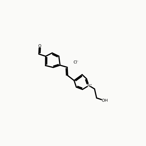 O=Cc1ccc(C=Cc2cc[n+](CCO)cc2)cc1.[Cl-]